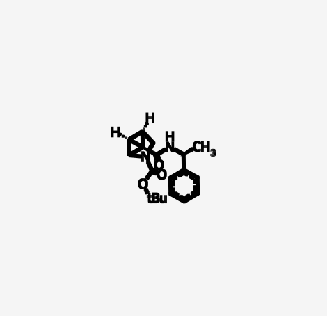 C[C@H](NC(=O)[C@@]12C3[C@H]1[C@H]2CN3C(=O)OC(C)(C)C)c1ccccc1